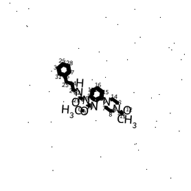 COc1nc2c(N3CCN(C(C)=O)CC3)cccc2n1C(=O)NCCCc1ccccc1